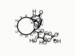 O=C1/C=C\C2CCC3(CCCCCCCC[C@]2(C2OC(OP(=O)(O)O)C(O)C2O)NC3=O)N1